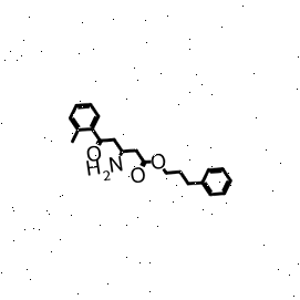 Cc1ccccc1C(=O)CC(N)CC(=O)OCCCc1ccccc1